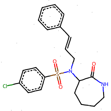 O=C1NCCCCC1N(C/C=C/c1ccccc1)S(=O)(=O)c1ccc(Cl)cc1